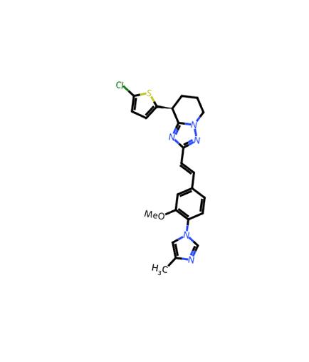 COc1cc(/C=C/c2nc3n(n2)CCC[C@@H]3c2ccc(Cl)s2)ccc1-n1cnc(C)c1